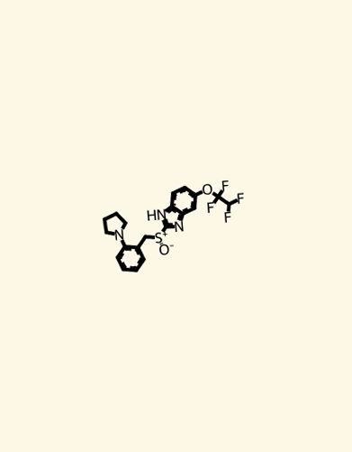 [O-][S+](Cc1ccccc1N1CCCC1)c1nc2cc(OC(F)(F)C(F)F)ccc2[nH]1